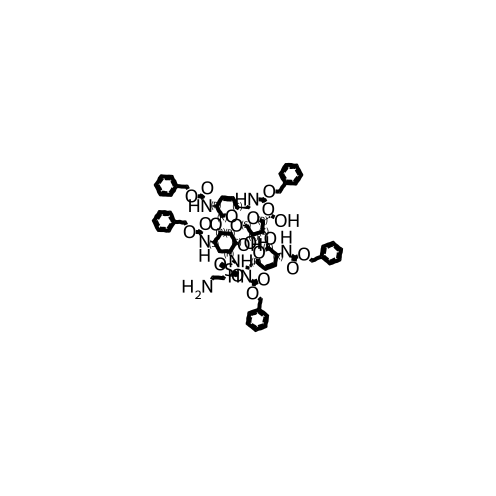 NCCS(=O)(=O)N[C@@H]1C[C@H](NC(=O)OCc2ccccc2)[C@@H](O[C@H]2O[C@H](CNC(=O)OCc3ccccc3)C=C[C@H]2NC(=O)OCc2ccccc2)[C@H](O[C@@H]2O[C@H](CO)[C@@H](O[C@H]3O[C@@H](CNC(=O)OCc4ccccc4)C=C[C@H]3NC(=O)OCc3ccccc3)[C@H]2O)[C@H]1O